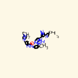 Cc1ccnc(-c2cncc(-c3ccnc(Nc4cc(NC(=O)c5ccc(CN6CCN(C)CC6)cc5)ccc4C)n3)c2)c1